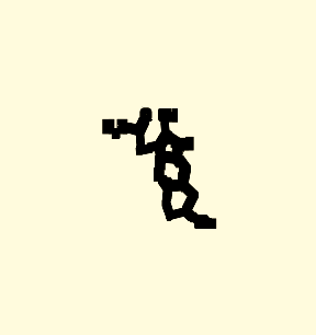 CC(C)(C)C1CCc2nc3c(CC(N)=O)c(O)[nH]c3cc2C1